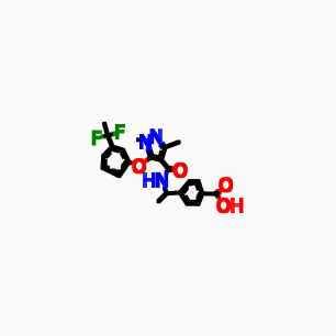 Cc1nn(C)c(Oc2cccc(C(C)(F)F)c2)c1C(=O)NC(C)c1ccc(C(=O)O)cc1